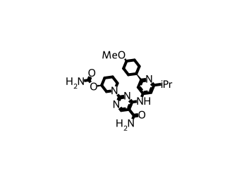 CO[C@H]1CC[C@@H](c2cc(Nc3nc(N4CCC[C@H](OC(N)=O)C4)ncc3C(N)=O)cc(C(C)C)n2)CC1